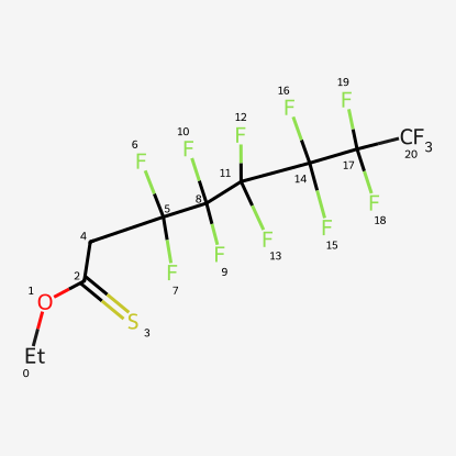 CCOC(=S)CC(F)(F)C(F)(F)C(F)(F)C(F)(F)C(F)(F)C(F)(F)F